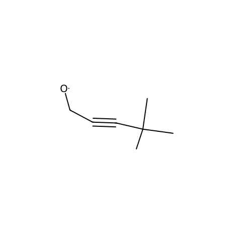 CC(C)(C)C#CC[O]